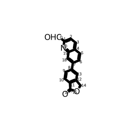 O=Cc1ccc2ccc(-c3ccc4c(c3)COC4=O)cc2n1